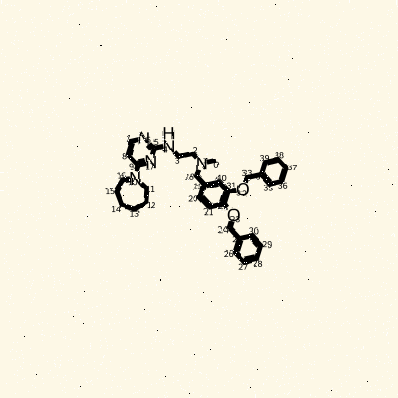 CN(CCNc1nccc(N2CCCCCC2)n1)Cc1ccc(OCc2ccccc2)c(OCc2ccccc2)c1